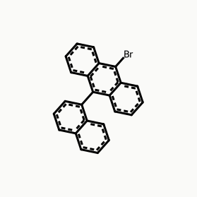 Brc1c2ccccc2c(-c2cccc3ccccc23)c2ccccc12